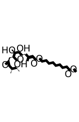 COC(=O)CCCCCCCCOC(=O)/C=C(\C)C[C@@H]1OC[C@H](C[C@@H]2O[C@H]2[C@@H](C)[C@@H](C)O)[C@@H](O)C1O